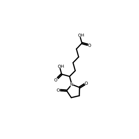 O=C(O)CCCCC(C(=O)O)N1C(=O)CCC1=O